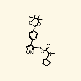 CN(C(=O)OCc1nocc1-c1ccc(B2OC(C)(C)C(C)(C)O2)cc1)C1CCCC1